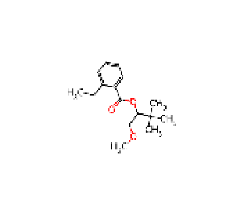 CCc1ccccc1C(=O)OC(COC)C(C)(C)C